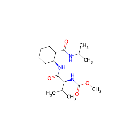 COC(=O)N[C@H](C(=O)N[C@H]1CCCC[C@@H]1C(=O)NC(C)C)C(C)C